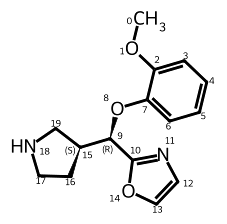 COc1ccccc1O[C@@H](c1ncco1)[C@H]1CCNC1